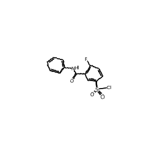 O=C(Nc1ccccc1)c1cc(S(=O)(=O)Cl)ccc1F